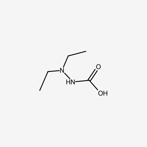 CCN(CC)NC(=O)O